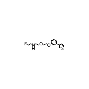 FCCNCCOCCOc1cccc(-c2ccsc2)c1